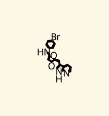 O=C1C=C(Nc2ccc(Br)cc2)O/C1=C/c1c[nH]c2ncccc12